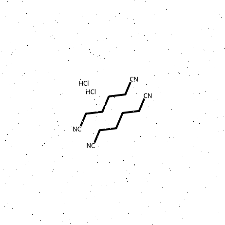 Cl.Cl.N#CCCCCC#N.N#CCCCCC#N